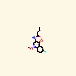 CCCC(=O)Nc1cn(OC)c2ccc(F)cc2c1=O